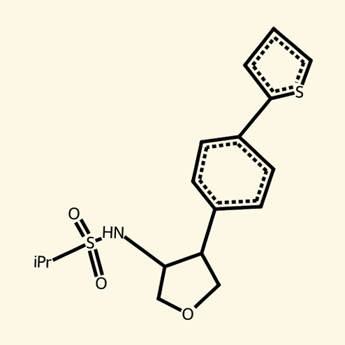 CC(C)S(=O)(=O)NC1COCC1c1ccc(-c2cccs2)cc1